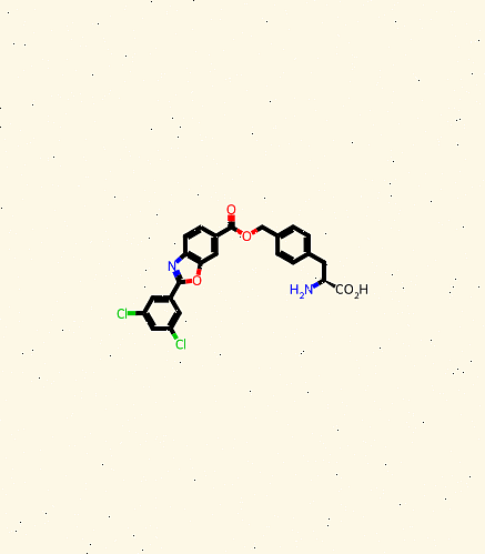 N[C@@H](Cc1ccc(COC(=O)c2ccc3nc(-c4cc(Cl)cc(Cl)c4)oc3c2)cc1)C(=O)O